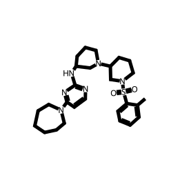 Cc1ccccc1S(=O)(=O)N1CCCC(N2CCCC(Nc3nccc(N4CCCCCC4)n3)C2)C1